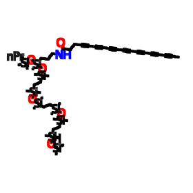 CC#CC#CC#CC#CC#CC#CC#CCCC(=O)NCCC[Si](C)(O[Si](C)(C)CCC)O[Si](C)(C)CC[Si](C)(C)O[Si](C)(C)CC[Si](C)(C)O[Si](C)(C)CC[Si](C)(C)O[SiH](C)C